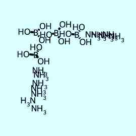 N.N.N.N.N.N.N.N.N.N.N.N.OB(O)O.OB(O)O.OB(O)O.OB(O)O